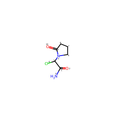 NC(=O)C(Cl)N1CCCC1=O